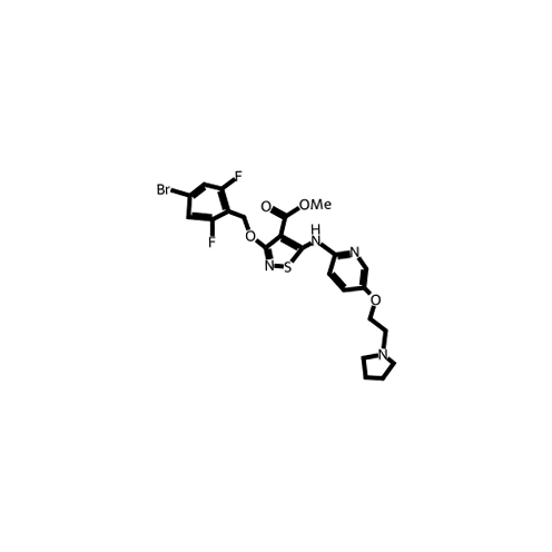 COC(=O)c1c(OCc2c(F)cc(Br)cc2F)nsc1Nc1ccc(OCCN2CCCC2)cn1